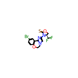 FC(F)[C@@H]1COC(=S)N1c1cn2c(n1)-c1cc(Br)ccc1OCC2